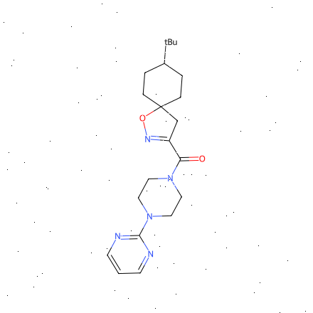 CC(C)(C)C1CCC2(CC1)CC(C(=O)N1CCN(c3ncccn3)CC1)=NO2